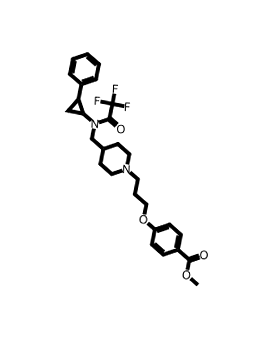 COC(=O)c1ccc(OCCCN2CCC(CN(C(=O)C(F)(F)F)C3CC3c3ccccc3)CC2)cc1